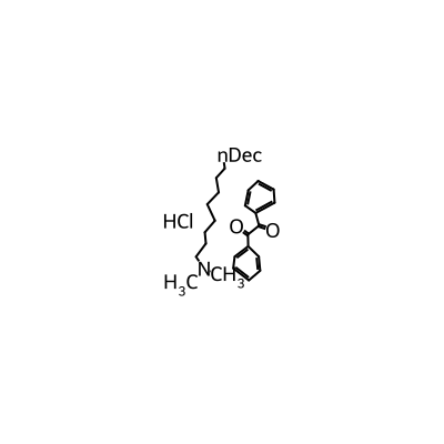 CCCCCCCCCCCCCCCCCCN(C)C.Cl.O=C(C(=O)c1ccccc1)c1ccccc1